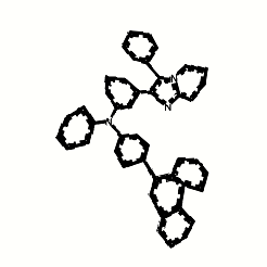 c1ccc(-c2c(-c3cccc(N(c4ccccc4)c4ccc(-c5cc6ccccc6c6ccccc56)cc4)c3)nc3ccccn23)cc1